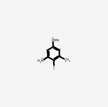 COc1cc(C)c(F)c(N)c1